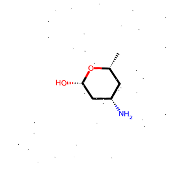 C[C@@H]1C[C@H](N)C[C@H](O)O1